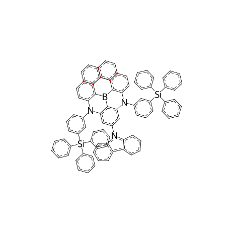 c1ccc(-c2cccc3c2B2c4c(-c5ccccc5)cccc4N(c4cccc([Si](c5ccccc5)(c5ccccc5)c5ccccc5)c4)c4cc(-n5c6ccccc6c6ccccc65)cc(c42)N3c2cccc([Si](c3ccccc3)(c3ccccc3)c3ccccc3)c2)cc1